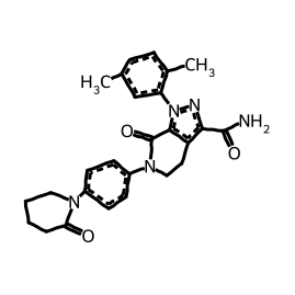 Cc1ccc(C)c(-n2nc(C(N)=O)c3c2C(=O)N(c2ccc(N4CCCCC4=O)cc2)CC3)c1